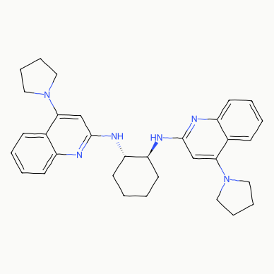 c1ccc2c(N3CCCC3)cc(N[C@H]3CCCC[C@@H]3Nc3cc(N4CCCC4)c4ccccc4n3)nc2c1